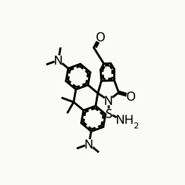 CN(C)c1ccc2c(c1)C(C)(C)c1cc(N(C)C)ccc1C21c2cc(C=O)ccc2C(=O)N1SN